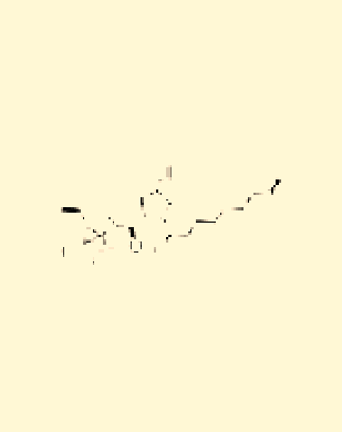 C=CCCCCC[C@H](C)C(=O)N1C[C@H](O)C[C@H]1C(=O)N[C@]1(C(=O)OCC)C[C@H]1C=C